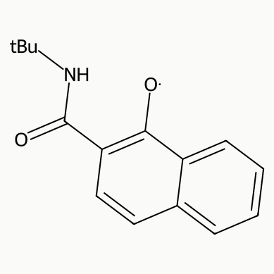 CC(C)(C)NC(=O)c1ccc2ccccc2c1[O]